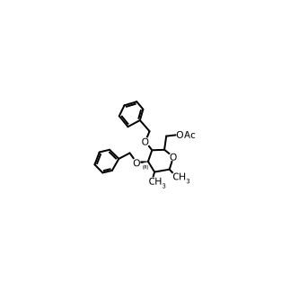 CC(=O)OCC1OC(C)C(C)[C@@H](OCc2ccccc2)C1OCc1ccccc1